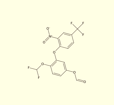 O=COc1ccc(OC(F)F)c(Oc2ccc(C(F)(F)F)cc2[N+](=O)[O-])c1